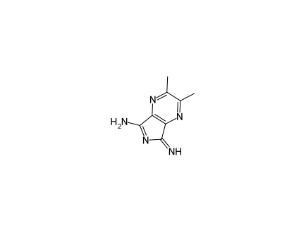 Cc1nc2c(nc1C)C(N)=NC2=N